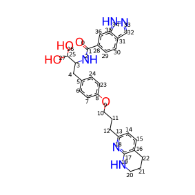 O=C(NC(Cc1ccc(OCCCc2ccc3c(n2)NCCC3)cc1)C(O)O)c1ccc2cn[nH]c2c1